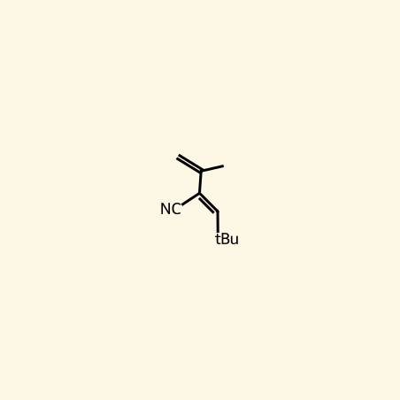 C=C(C)/C(C#N)=C/C(C)(C)C